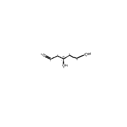 O=CC[C@H](O)CCO